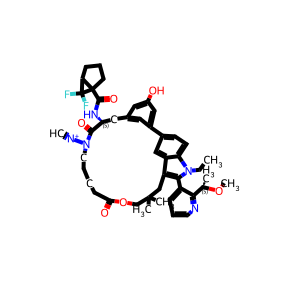 C#[N+]N1CCCCC(=O)OCC(C)(C)Cc2c(-c3cccnc3[C@H](C)OC)n(CC)c3ccc(cc23)-c2cc(O)cc(c2)C[C@H](NC(=O)C23CCCC2C3(F)F)C1=O